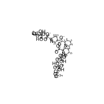 O=C([O-])c1ccccn1.O=C([O-])c1ccccn1.O=C([O-])c1ccccn1.O=S(=O)(O)O.O=S(=O)(O)O.O=S(=O)(O)O.[Cl-].[Cl-].[Cl-].[Cr+3].[Cr+3]